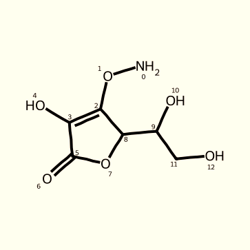 NOC1=C(O)C(=O)OC1C(O)CO